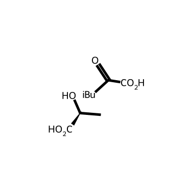 CCC(C)C(=O)C(=O)O.C[C@H](O)C(=O)O